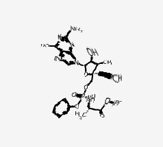 C#C[C@]1(CO[P@@](=O)(N[C@@H](C)C(=O)OC(C)C)Oc2ccccc2)O[C@@H](n2cnc3c(O)nc(N)nc32)C(O)C1O